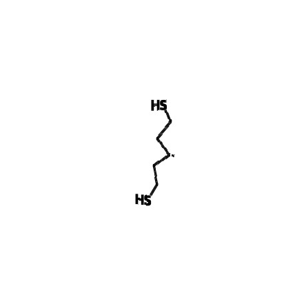 SCC[CH]CCS